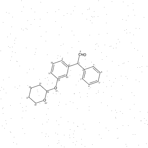 O=CC(c1ccccc1)c1cccc(OC2CCCCO2)c1